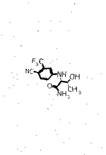 C[C@@H](O)[C@@H](Nc1ccc(C#N)c(C(F)(F)F)c1)C(N)=O